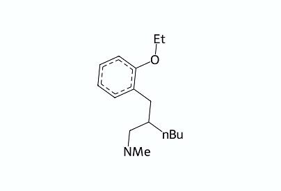 CCCCC(CNC)Cc1ccccc1OCC